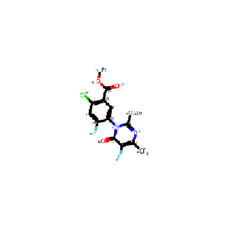 COc1nc(C(F)(F)F)c(F)c(=O)n1-c1cc(C(=O)OC(C)C)c(Cl)cc1F